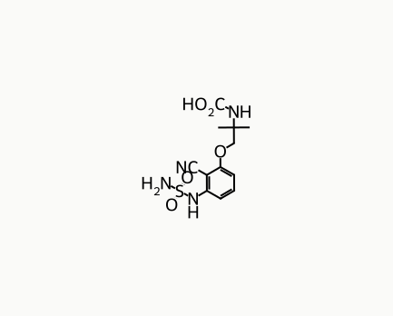 CC(C)(COc1cccc(NS(N)(=O)=O)c1C#N)NC(=O)O